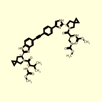 COC(=O)NC[C@H](NC(=O)OC)C(=O)N1CC2(CC2)C[C@H]1c1nc(-c2ccc(C#Cc3ccc4[nH]c([C@@H]5CC6(CC6)CN5C(=O)[C@@H](NC(=O)OC)C(C)C)nc4c3)cc2)c[nH]1